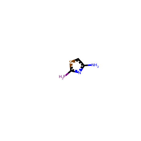 Nc1csc(P)n1